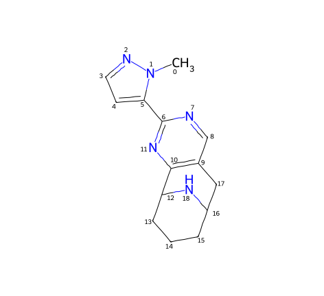 Cn1nccc1-c1ncc2c(n1)C1CCCC(C2)N1